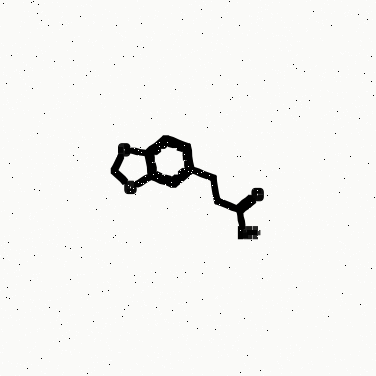 [NH]C(=O)CCc1ccc2c(c1)OCO2